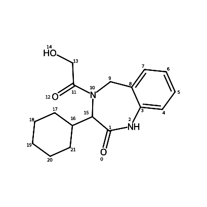 O=C1Nc2ccccc2CN(C(=O)CO)C1C1CCCCC1